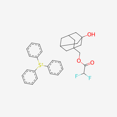 O=C(OCC12CC3CC(CC(O)(C3)C1)C2)C(F)F.c1ccc([S+](c2ccccc2)c2ccccc2)cc1